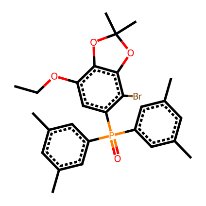 CCOc1cc(P(=O)(c2cc(C)cc(C)c2)c2cc(C)cc(C)c2)c(Br)c2c1OC(C)(C)O2